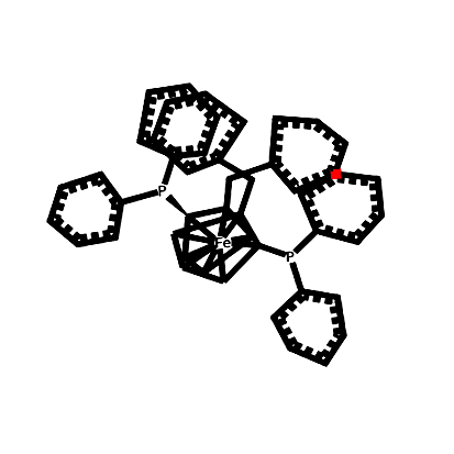 c1ccc(C[C]23[CH]4[CH]5[CH]6[C]2(P(c2ccccc2)c2ccccc2)[Fe]54632789[CH]3[CH]2[C]7(Cc2ccccc2)[C@@]8(P(c2ccccc2)c2ccccc2)[CH]39)cc1